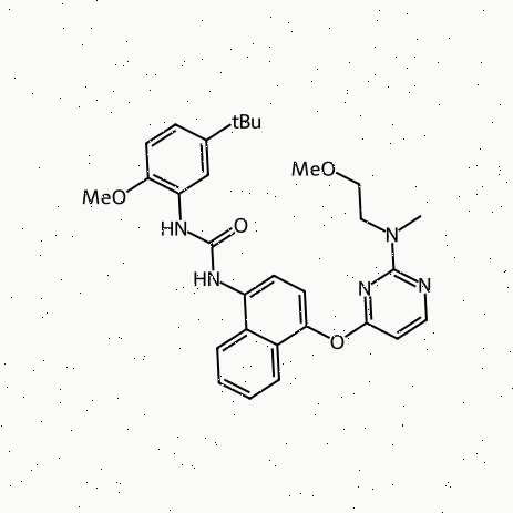 COCCN(C)c1nccc(Oc2ccc(NC(=O)Nc3cc(C(C)(C)C)ccc3OC)c3ccccc23)n1